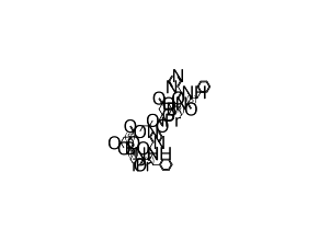 CC(C)C[C@H](NC(=O)[C@H](Cc1ccccc1)NC(=O)c1cnccn1)B1OC(=O)CC(C(=O)OCCOC(=O)[C@@H]2CC(=O)OB([C@H](CC(C)C)NC(=O)[C@H](Cc3ccccc3)NC(=O)c3cnccn3)O2)O1